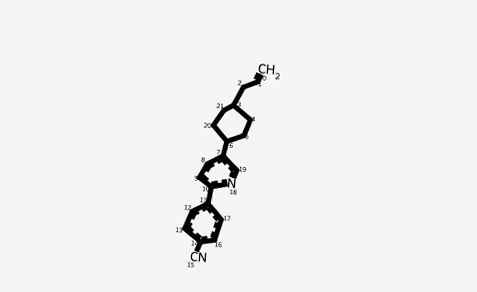 C=CCC1CCC(c2ccc(-c3ccc(C#N)cc3)nc2)CC1